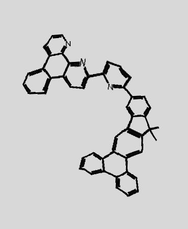 CC1(C)c2ccc(-c3cccc(-c4ccc5c6ccccc6c6cccnc6c5n4)n3)cc2-c2cc3c4ccccc4c4ccccc4c3cc21